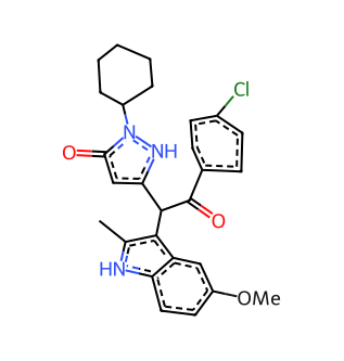 COc1ccc2[nH]c(C)c(C(C(=O)c3ccc(Cl)cc3)c3cc(=O)n(C4CCCCC4)[nH]3)c2c1